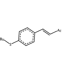 CCCCSc1ccc(/C=C/C(C)=O)cc1